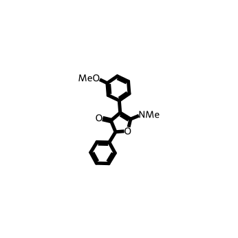 CNC1=C(c2cccc(OC)c2)C(=O)C(c2ccccc2)O1